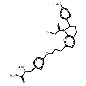 COC(=O)[C@@H](N)Cc1ccc(OCCCc2ccc3c(n2)N(C(=O)OC(C)(C)C)C(c2ccc(C(=O)O)cc2)CC3)cc1